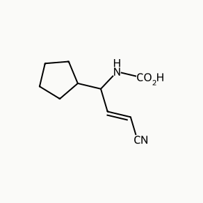 N#CC=CC(NC(=O)O)C1CCCC1